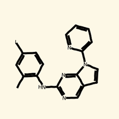 Cc1cc(I)ccc1Nc1ncc2ccn(-c3ccccn3)c2n1